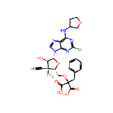 C#C[C@@]1(C)[C@@H](COC(Cc2ccccc2)(C(=O)O)C(=O)O)O[C@@H](n2cnc3c(NC4CCOC4)nc(Cl)nc32)[C@@H]1O